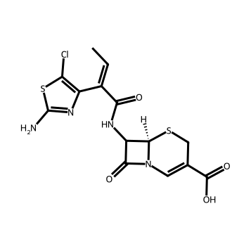 CC=C(C(=O)NC1C(=O)N2C=C(C(=O)O)CS[C@H]12)c1nc(N)sc1Cl